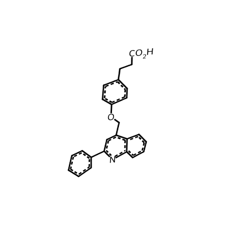 O=C(O)CCc1ccc(OCc2cc(-c3ccccc3)nc3ccccc23)cc1